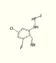 N=Cc1c(F)cc(Cl)cc1NPI